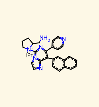 CC(C)[N+]1(c2nc(-c3ccncc3)c(-c3ccc4ccccc4c3)c3nccn23)CCCC1CN